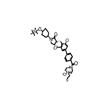 CC(C)(C)[Si](C)(C)OC1CCC(N2CC[C@@H](Cc3c(Cl)cc(-c4ccc(C(=O)N5CC[N+]([O-])(CCF)CC5)cc4)cc3Cl)C2=O)CC1